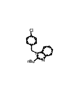 CCCCc1nc2ccccc2n1Cc1ccc(Cl)cc1